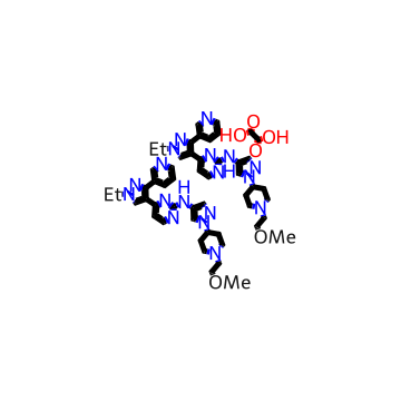 CCn1cc(-c2ccnc(Nc3cnn(C4CCN(CCOC)CC4)c3)n2)c(-c2cccnc2)n1.CCn1cc(-c2ccnc(Nc3cnn(C4CCN(CCOC)CC4)c3)n2)c(-c2cccnc2)n1.O=C(O)C(=O)O